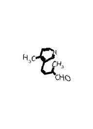 Cc1ccncc1/C=C\C(C)C=O